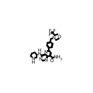 NC(=O)c1cc(-c2ccc(CN3CCOCC3C(F)(F)F)cc2)nc2c(N[C@H]3CCCNC3)ncnc12